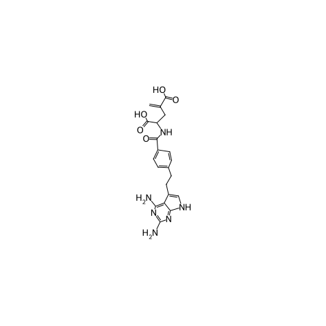 C=C(CC(NC(=O)c1ccc(CCc2c[nH]c3nc(N)nc(N)c23)cc1)C(=O)O)C(=O)O